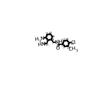 Cc1cc(C(=O)NCc2cccc(N)c2C=N)ccc1Cl